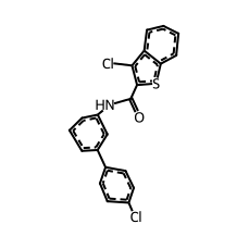 O=C(Nc1cccc(-c2ccc(Cl)cc2)c1)c1sc2ccccc2c1Cl